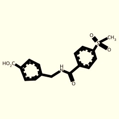 CS(=O)(=O)c1ccc(C(=O)NCc2ccc(C(=O)O)cc2)cc1